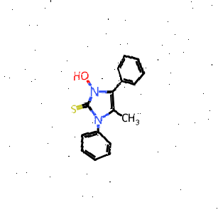 Cc1c(-c2ccccc2)n(O)c(=S)n1-c1ccccc1